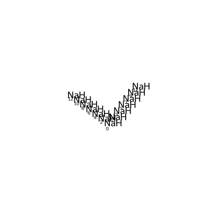 [NaH].[NaH].[NaH].[NaH].[NaH].[NaH].[NaH].[NaH].[NaH].[NaH].[NaH].[NaH].[NaH]